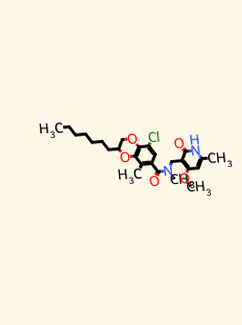 CCCCCCCC1COc2c(Cl)cc(C(=O)N(C)Cc3c(OC)cc(C)[nH]c3=O)c(C)c2O1